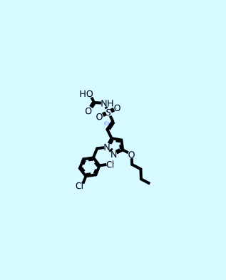 CCCCOc1cc(/C=C/S(=O)(=O)NC(=O)O)n(Cc2ccc(Cl)cc2Cl)n1